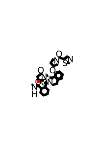 CNC(=O)C1CCCCC1C(=O)N1CCc2cccc(OC3CCN(C(=O)c4cncs4)C3)c2[C@H]1CN1CCCC1=O